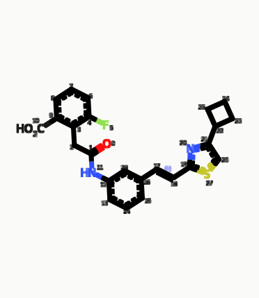 O=C(Cc1c(F)cccc1C(=O)O)Nc1cccc(/C=C/c2nc(C3CCC3)cs2)c1